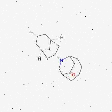 C[C@@H]1C[C@@H]2C[C@H](C1)C[C@@H](N1CC3CCCCC1CC3=O)C2